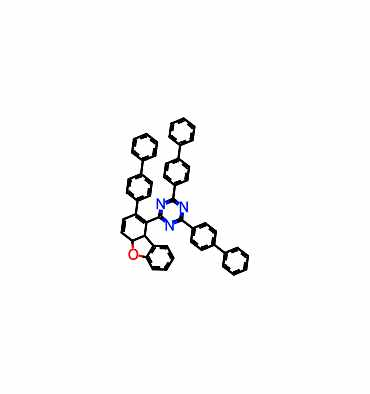 C1=CC2Oc3ccccc3C2C(c2nc(-c3ccc(-c4ccccc4)cc3)nc(-c3ccc(-c4ccccc4)cc3)n2)=C1c1ccc(-c2ccccc2)cc1